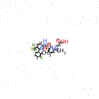 Cc1c(F)cccc1-c1nc(NS(=O)(=O)c2cccc(N(C)CCC(=O)O)n2)ccc1C(F)(F)F